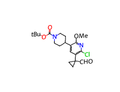 COc1nc(Cl)c(C2(C=O)CC2)cc1C1CCN(C(=O)OC(C)(C)C)CC1